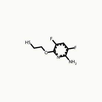 Nc1nc(OCCS)c(F)cc1F